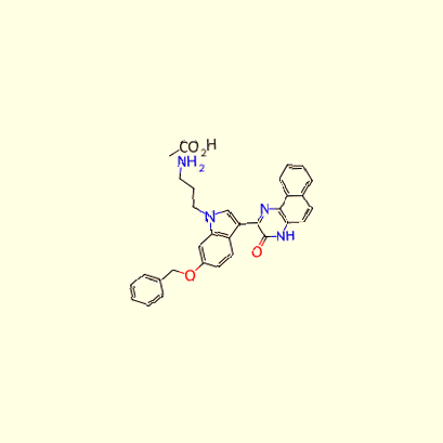 CC(=O)O.NCCCn1cc(-c2nc3c(ccc4ccccc43)[nH]c2=O)c2ccc(OCc3ccccc3)cc21